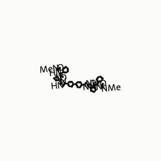 CNC(=O)N[C@@H](C(=O)N1CC=CC1c1nc(-c2ccc(-c3ccc(-c4c[nH]c(C5CCCN5C(=O)[C@H](NC(=O)NC)c5ccccc5)n4)cc3)cc2)c[nH]1)c1ccccc1